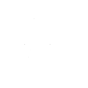 C=C(Nc1cnc(C)c(-c2cnc(N3CCSCC3)c(C#N)c2)c1)c1ccnc(C(F)(F)F)c1